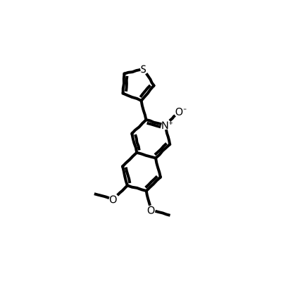 COc1cc2cc(-c3ccsc3)[n+]([O-])cc2cc1OC